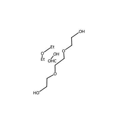 CCOCC.O=CO.OCCOCCOCCO